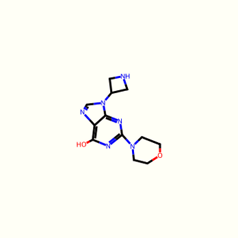 Oc1nc(N2CCOCC2)nc2c1ncn2C1CNC1